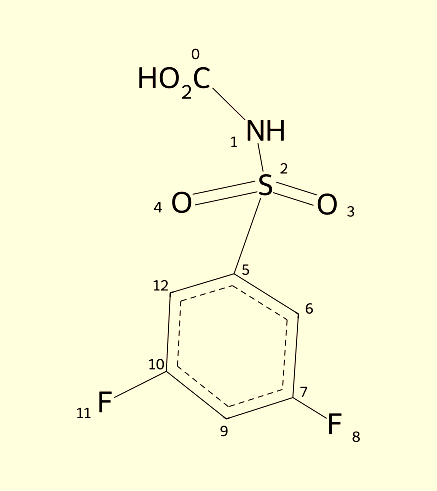 O=C(O)NS(=O)(=O)c1cc(F)cc(F)c1